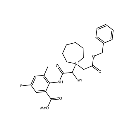 CCCC(C(=O)Nc1c(C)cc(F)cc1C(=O)OC)[N+]1(CC(=O)OCc2ccccc2)CCCCCC1